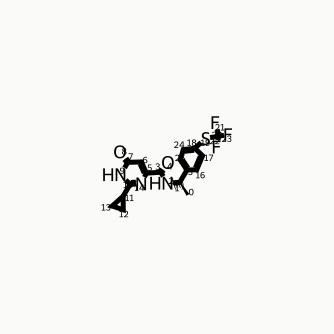 C[C@@H](NC(=O)c1cc(=O)[nH]c(C2CC2)n1)c1ccc(SC(F)(F)F)cc1